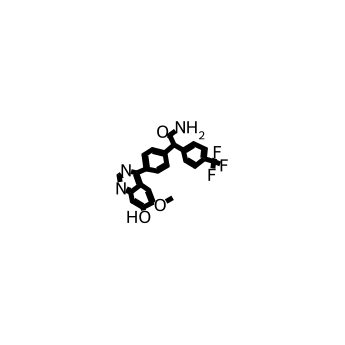 COc1cc2c(-c3ccc(C(C(N)=O)c4ccc(C(F)(F)F)cc4)cc3)ncnc2cc1O